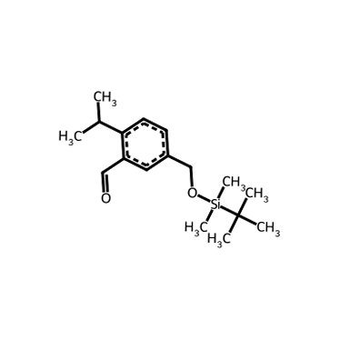 CC(C)c1ccc(CO[Si](C)(C)C(C)(C)C)cc1C=O